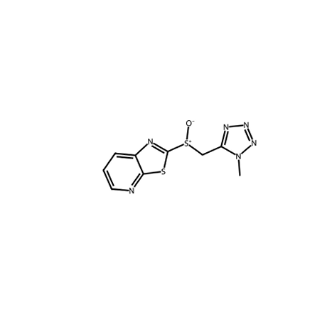 Cn1nnnc1C[S+]([O-])c1nc2cccnc2s1